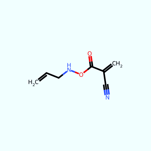 C=CCNOC(=O)C(=C)C#N